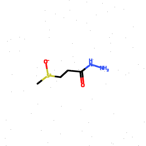 C[S+]([O-])CCC(=O)NN